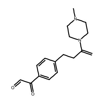 C=C(CCc1ccc(C(=O)C=O)cc1)N1CCN(C)CC1